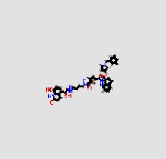 O=C(NCCCCNCC(O)c1ccc(O)c2[nH]c(=O)ccc12)c1ccc(CN[C@]2(C(=O)OC3CCN(Cc4ccccc4)C3)CCc3ccccc32)s1